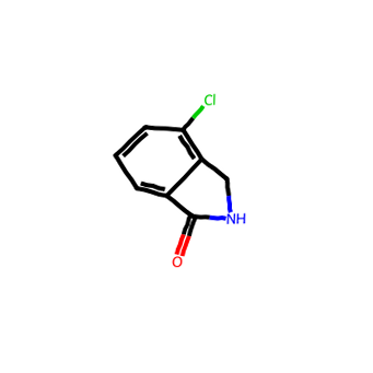 O=C1NCc2c(Cl)cccc21